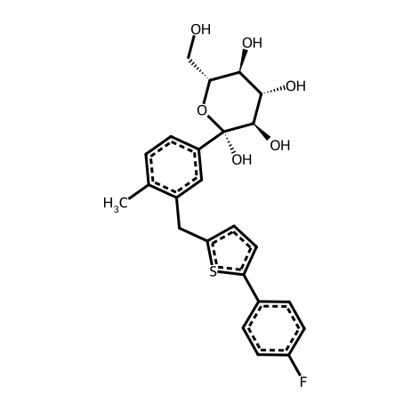 Cc1ccc([C@@]2(O)O[C@H](CO)[C@@H](O)[C@H](O)[C@H]2O)cc1Cc1ccc(-c2ccc(F)cc2)s1